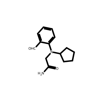 NC(=O)CN(c1ccccc1C=O)C1CCCC1